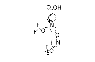 O=C(O)c1ccc(N2C[C@@H](Oc3ccc(OC(F)(F)F)cn3)C[C@H]2COC(F)F)nc1